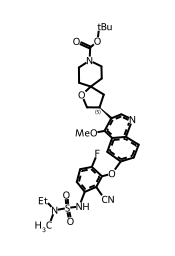 CCN(C)S(=O)(=O)Nc1ccc(F)c(Oc2ccc3ncc([C@H]4COC5(CCN(C(=O)OC(C)(C)C)CC5)C4)c(OC)c3c2)c1C#N